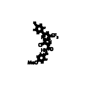 COc1ccc(CNC(=O)c2nn3c(C(F)(F)F)cc(-c4ccc(C)cc4)nc3c2Cl)cc1